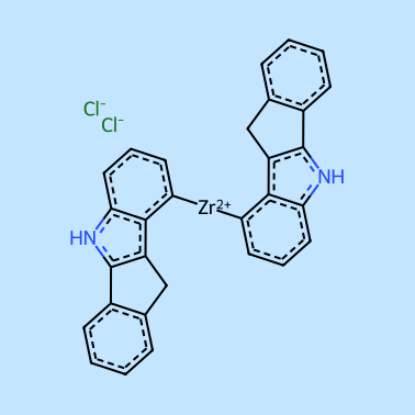 [Cl-].[Cl-].c1ccc2c(c1)Cc1c-2[nH]c2ccc[c]([Zr+2][c]3cccc4[nH]c5c(c34)Cc3ccccc3-5)c12